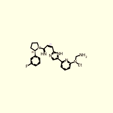 CCN(CN)c1cccc(-c2cnc(/C=C\C(=N)N3CCC[C@@H]3c3cccc(F)c3)[nH]2)n1